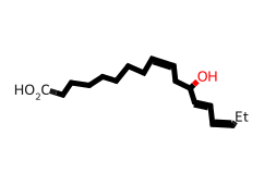 CC/C=C\C=C\C(O)C/C=C\CCCCCCCC(=O)O